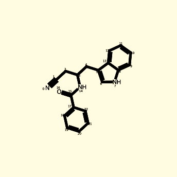 N#CCC(Cc1c[nH]c2ccccc12)NC(=O)c1ccccc1